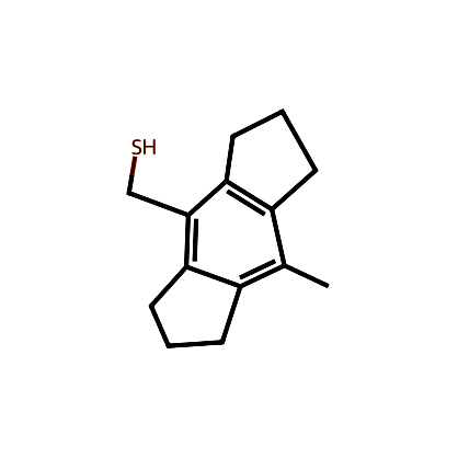 Cc1c2c(c(CS)c3c1CCC3)CCC2